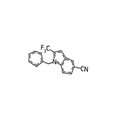 N#Cc1ccc2c(c1)cc(C(F)(F)F)n2Cc1ccccc1